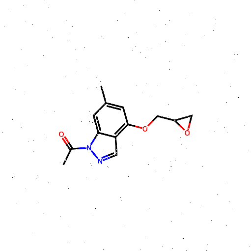 CC(=O)n1ncc2c(OCC3CO3)cc(C)cc21